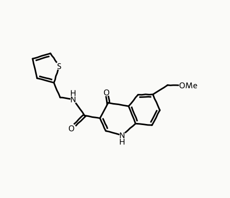 COCc1ccc2[nH]cc(C(=O)NCc3cccs3)c(=O)c2c1